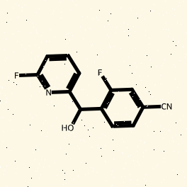 N#Cc1ccc(C(O)c2cccc(F)n2)c(F)c1